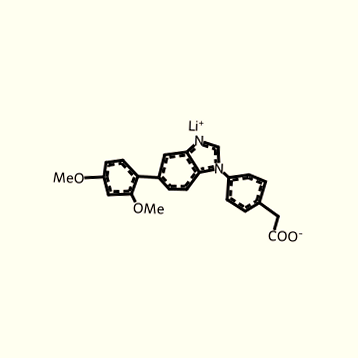 COc1ccc(-c2ccc3c(c2)ncn3-c2ccc(CC(=O)[O-])cc2)c(OC)c1.[Li+]